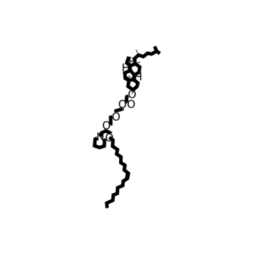 CCCCCCCC/C=C\CCCCCCCCOCC(CN1CCCCC1)OCCOCCOC(=O)CO[C@H]1CC[C@@]2(C)C(=CC[C@H]3[C@H]4CC[C@H]([C@H](C)CCCC(C)C)[C@@]4(C)CC[C@H]32)C1